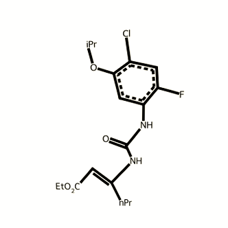 CCCC(=CC(=O)OCC)NC(=O)Nc1cc(OC(C)C)c(Cl)cc1F